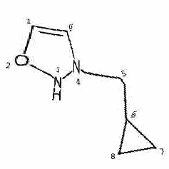 [C]1=CONN1CC1CC1